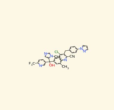 Cc1cc(C(O)(c2ccc(C(F)(F)F)nc2)c2cncn2C)cc2c(Cl)c(Cc3ccc(-n4cccn4)cc3)c(C#N)nc12